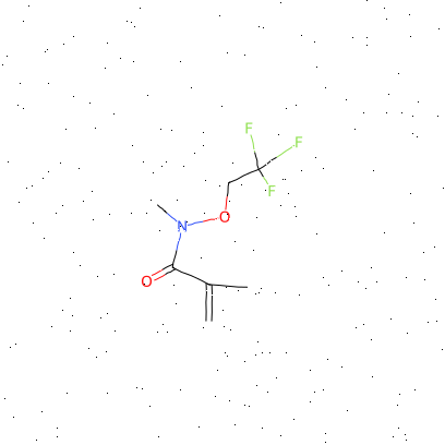 C=C(C)C(=O)N(C)OCC(F)(F)F